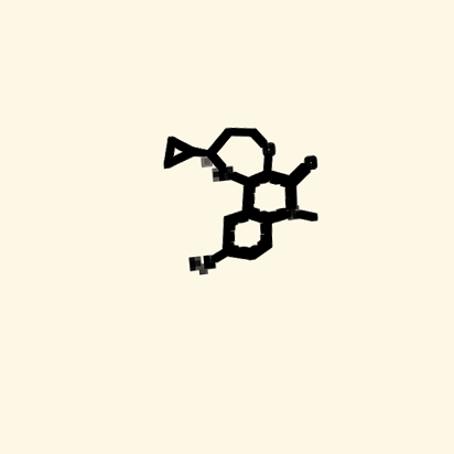 Cn1c(=O)c2c(c3cc(N)ccc31)N[C@@H](C1CC1)CCO2